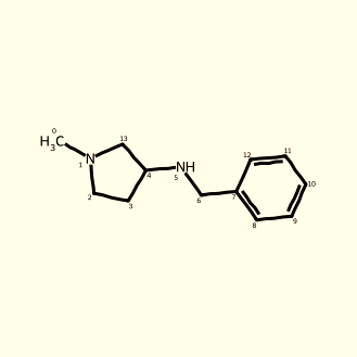 CN1CCC(NCc2ccccc2)C1